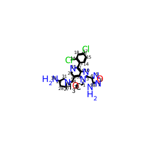 CCn1c(-c2nonc2N)nc2c(-c3ccc(Cl)cc3Cl)ncc(C(=O)N3CCC(N)C3)c21